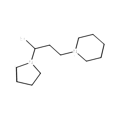 [CH2]CC(CCN1CCCCC1)N1CCCC1